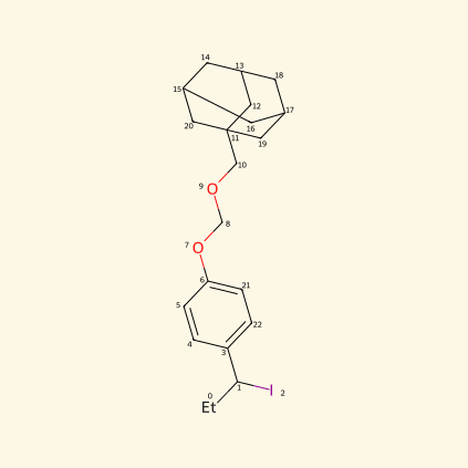 CCC(I)c1ccc(OCOCC23CC4CC(CC(C4)C2)C3)cc1